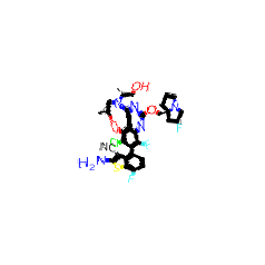 C[C@H](CO)N1C[C@H](C)Oc2c(Cl)c(-c3ccc(F)c4sc(N)c(C#N)c34)c(F)c3nc(OC[C@@]45CCCN4C[C@H](F)C5)nc1c23